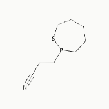 N#CCCP1CCCCCS1